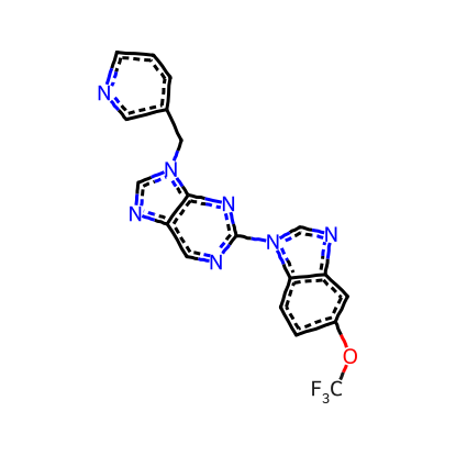 FC(F)(F)Oc1ccc2c(c1)ncn2-c1ncc2ncn(Cc3cccnc3)c2n1